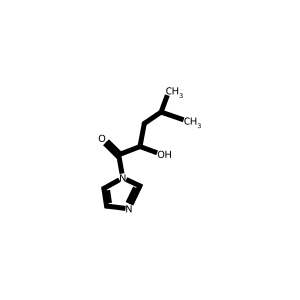 CC(C)CC(O)C(=O)n1ccnc1